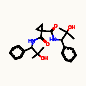 CC(C)(O)[C@H](NC(=O)C1(C(=O)N[C@H](c2ccccc2)C(C)(C)O)CC1)c1ccccc1